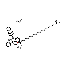 CC(OC(=O)CCCCCCCCCCCCCCCCCCC(=O)O)OC(C(=O)OC1CC2CCC(C1)[N+]21CCCC1)(c1ccccc1)c1ccccc1.O=C[O-]